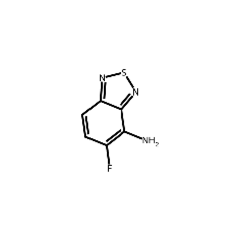 Nc1c(F)ccc2nsnc12